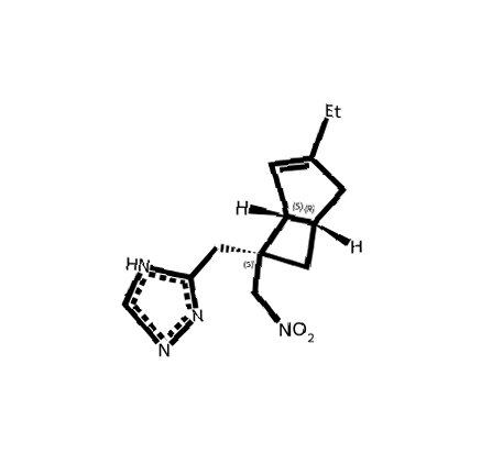 CCC1=C[C@@H]2[C@H](C1)C[C@@]2(Cc1nnc[nH]1)C[N+](=O)[O-]